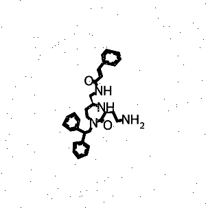 NCC[C@@H]1N[C@H](CNC(=O)C=Cc2ccccc2)CCN(CC(c2ccccc2)c2ccccc2)C1=O